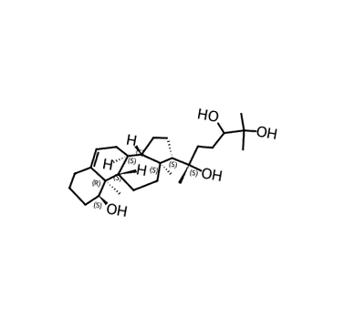 CC(C)(O)C(O)CC[C@](C)(O)[C@H]1CC[C@H]2[C@@H]3CC=C4CCC[C@H](O)[C@]4(C)[C@H]3CC[C@@]21C